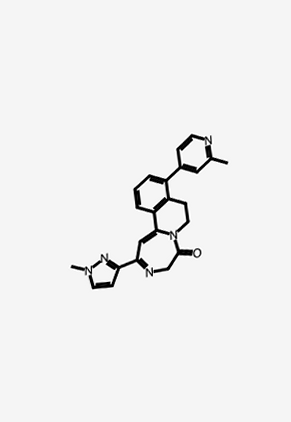 Cc1cc(-c2cccc3c2CCN2C(=O)CN=C(c4ccn(C)n4)C=C32)ccn1